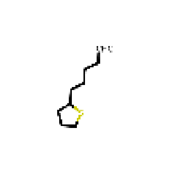 O=CCCCCC1CCCS1